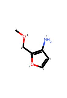 COCc1occc1N